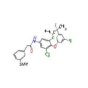 CSc1cccc(CC(=O)Nc2cc(Cl)c(Oc3cc(F)cc(C(C)(C)F)c3)c(Cl)c2)c1